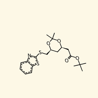 CC(C)(C)OC(=O)C[C@H]1C[C@@H](CSc2nc3ccccc3s2)OC(C)(C)O1